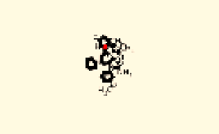 COc1cccc(N(C(N)=O)[C@@H]2C[C@H](c3ccccc3)CC(c3cccc(F)c3)N(N(C(C)=O)C(C)(C)C)C2=O)c1